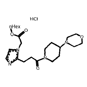 CCCCCCOC(=O)Cn1ccnc1CCC(=O)N1CCC(N2CCOCC2)CC1.Cl